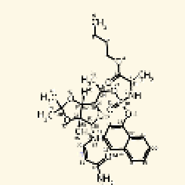 CCCCOC(=O)[C@H](C)NP(=O)(Oc1cccc2ccccc12)O[C@H](C)[C@H]1O[C@@H](N/C=C\C(N)=O)[C@]2(C)OC(C)(C)O[C@H]12